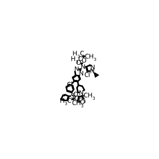 CC(C)(C)OC(=O)N(c1ncc2cc(Cl)c(C3CCN(C4(C)COCC4O[Si](c4ccccc4)(c4ccccc4)C(C)(C)C)CC3)cc2n1)c1cnn(C2CC2)c1Cl